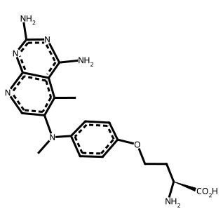 Cc1c(N(C)c2ccc(OCC[C@H](N)C(=O)O)cc2)cnc2nc(N)nc(N)c12